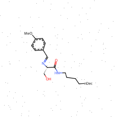 CCCCCCCCCCCCCCNC(=O)[C@H](CO)N=Cc1ccc(OC)cc1